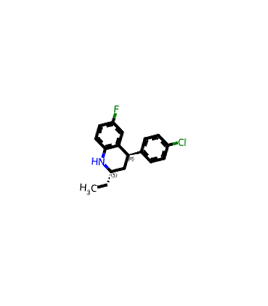 CC[C@H]1C[C@H](c2ccc(Cl)cc2)c2cc(F)ccc2N1